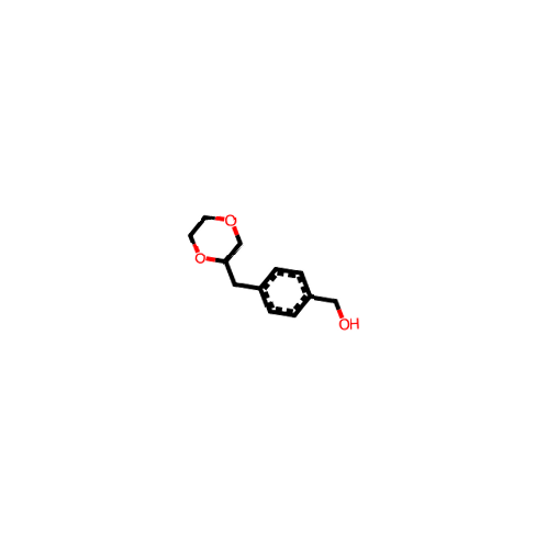 OCc1ccc(CC2COCCO2)cc1